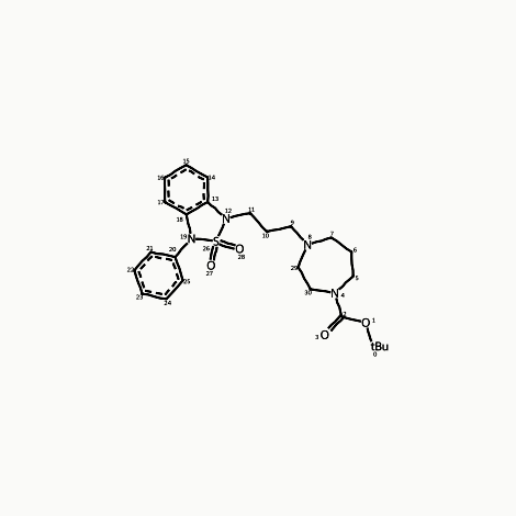 CC(C)(C)OC(=O)N1CCCN(CCCN2c3ccccc3N(c3ccccc3)S2(=O)=O)CC1